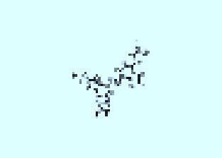 Cc1cc2cc(OC(F)(F)F)cc(COc3ccc(CCC(=O)O)c4c3CCC4)c2o1